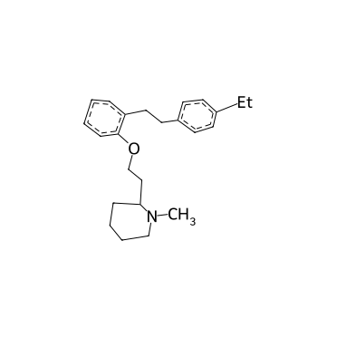 CCc1ccc(CCc2ccccc2OCCC2CCCCN2C)cc1